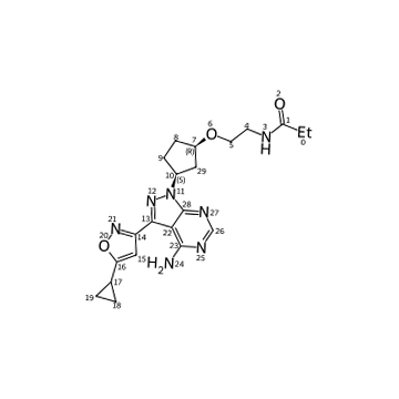 CCC(=O)NCCO[C@@H]1CC[C@H](n2nc(-c3cc(C4CC4)on3)c3c(N)ncnc32)C1